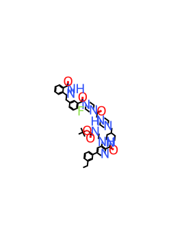 CCc1cccc(-c2cnc(C(=O)N3CCC(CN4CCN(CC(=O)N5CCN(C(=O)c6cc(Cc7n[nH]c(=O)c8ccccc78)ccc6F)CC5)CC4)CC3)c(NCCNC(=O)OC(C)(C)C)c2)c1